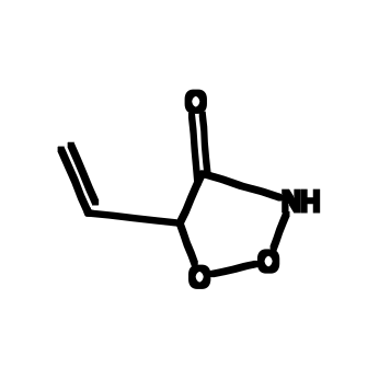 C=CC1OONC1=O